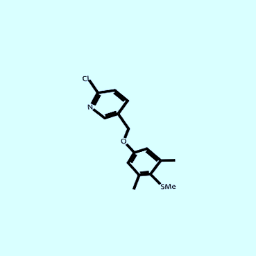 CSc1c(C)cc(OCc2ccc(Cl)nc2)cc1C